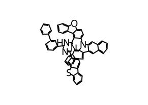 c1ccc(-c2cccc(C3N=C(c4ccc5c(c4)sc4ccccc45)N=C(c4c(-n5c6cc7ccccc7cc6c6cc7ccccc7cc65)ccc5oc6ccccc6c45)N3)c2)cc1